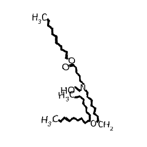 C=C(CCCCCCCN(CCO)CCCCCC(=O)OCCCCCCCCCCC)OC(CCCCCCCC)CCCCCCCC